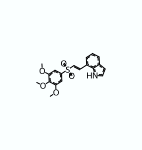 COc1cc(S(=O)(=O)C=Cc2cccc3cc[nH]c23)cc(OC)c1OC